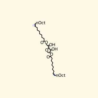 CCCCCCCC/C=C\CCCCCCCC(=O)OC[C@@H](O)[C@H]1OC[C@H](OC(=O)CCCCCCC/C=C\CCCCCCCC)[C@H]1O